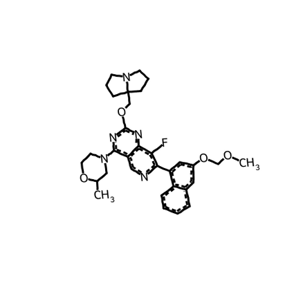 COCOc1cc(-c2ncc3c(N4CCOC(C)C4)nc(OCC45CCCN4CCC5)nc3c2F)c2ccccc2c1